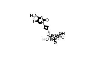 Nc1nc(=O)n([C@H]2C[C@@H](COP(=O)(O)OP(=O)(O)OP(=O)(O)O)C2)cc1F